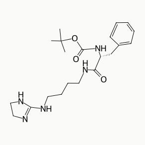 CC(C)(C)OC(=O)N[C@H](Cc1ccccc1)C(=O)NCCCCNC1=NCCN1